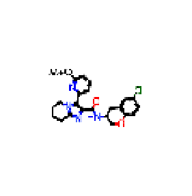 COc1cccc(-c2c(C(=O)NC3COc4ccc(Cl)cc4C3)nc3n2CCCC3)n1